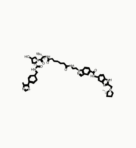 Cc1ncsc1C1=CCC(CNC(=O)[C@@H]2CC(O)CN2C(=O)[C@@H](NC(=O)CCCCCC(=O)NCCn2ncc3cc(C(=O)Nc4ccc5[nH]c(CN6CCC[C@@H]6C)nc5c4)ccc32)C(C)(C)C)C=C1